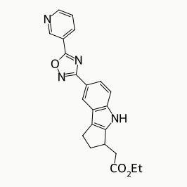 CCOC(=O)CC1CCc2c1[nH]c1ccc(-c3noc(-c4cccnc4)n3)cc21